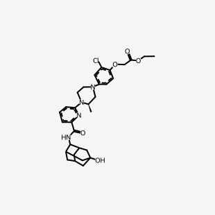 CCOC(=O)COc1ccc(N2CCN(c3cccc(C(=O)NC4C5CC6CC4CC(O)(C6)C5)n3)[C@H](C)C2)cc1Cl